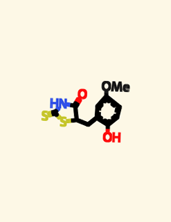 COc1ccc(O)c(CC2SC(=S)NC2=O)c1